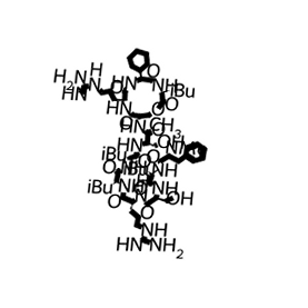 CC[C@@H](C)[C@@H](NC(=O)[C@@H](CCCNC(=N)N)NC(=O)[C@H](CO)NC(=O)[C@@H](NC(=O)[C@@H](Cc1ccccc1)NC)[C@@H](C)CC)C(=O)N[C@H](C(=O)N[C@@H](CO)C(=O)N[C@H]1C(=O)N[C@@H](CCCNC(=N)N)C(=O)N[C@@H](C2CCCCC2)C(=O)N[C@@H]([C@@H](C)CC)C(=O)O[C@H]1C)[C@@H](C)CC